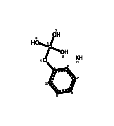 O[Si](O)(O)Oc1ccccc1.[KH]